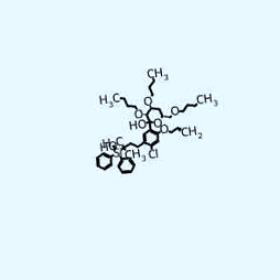 C=CCOc1cc(Cl)c(CCC(C)(C)[Si](O)(c2ccccc2)c2ccccc2)cc1C1(O)O[C@H](COCCCC)C[C@H](OCCCC)[C@H]1OCCCC